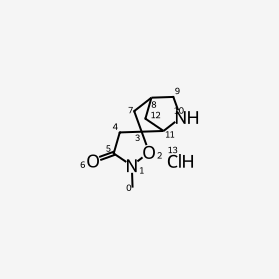 CN1OC2(CC1=O)CC1CNC2C1.Cl